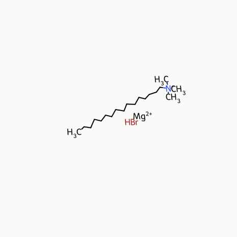 Br.CCCCCCCCCCCCCCCC[N+](C)(C)C.[Mg+2]